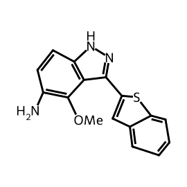 COc1c(N)ccc2[nH]nc(-c3cc4ccccc4s3)c12